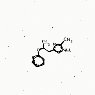 Cc1nc(CC(C)Oc2ccccc2)c[nH]1